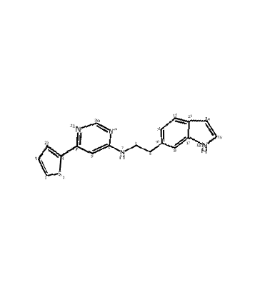 c1csc(-c2cc(NCCc3ccc4cc[nH]c4c3)ncn2)c1